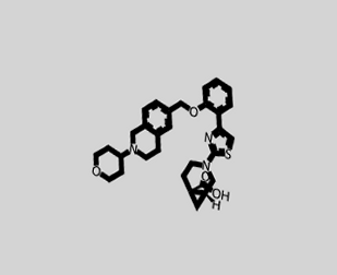 O=C(O)[C@@]12CCN(c3nc(-c4ccccc4OCc4ccc5c(c4)CCN(C4CCOCC4)C5)cs3)C[C@@H]1C2